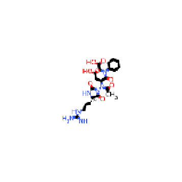 CC(=O)N(C(CC(=O)O)C(=O)N(CC(=O)O)C1CCCCC1)N1C(=O)N[C@@H](CCCNC(=N)N)C1=O